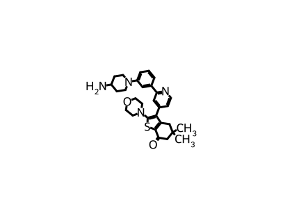 CC1(C)CC(=O)c2sc(N3CCOCC3)c(-c3ccnc(-c4cccc(N5CCC(N)CC5)c4)c3)c2C1